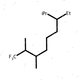 CCC(CCCC(C)C(C)C(F)(F)F)C(C)C